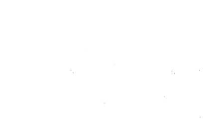 CC(C)(C)OC(=O)N(CCc1ccc(F)cc1)CC1CN(CC2CCC(n3cc(Br)c4c(Cl)ncnc43)C2)C1